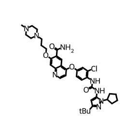 CN1CCN(CCCOc2cc3nccc(Oc4ccc(NC(=O)Nc5cc(C(C)(C)C)nn5C5CCCC5)c(Cl)c4)c3cc2C(N)=O)CC1